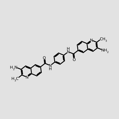 Cc1nc2ccc(C(=O)Nc3ccc(NC(=O)c4ccc5nc(C)c(N)cc5c4)cc3)cc2cc1N